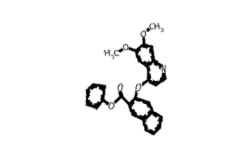 COc1cc2nccc(Oc3cc4ccccc4cc3C(=O)Oc3ccccc3)c2cc1OC